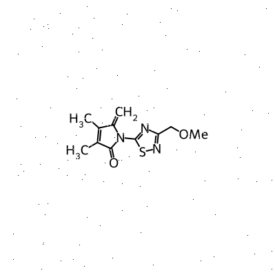 C=C1C(C)=C(C)C(=O)N1c1nc(COC)ns1